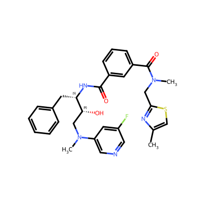 Cc1csc(CN(C)C(=O)c2cccc(C(=O)N[C@@H](Cc3ccccc3)[C@H](O)CN(C)c3cncc(F)c3)c2)n1